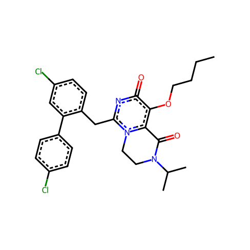 CCCCOc1c2n(c(Cc3ccc(Cl)cc3-c3ccc(Cl)cc3)nc1=O)CCN(C(C)C)C2=O